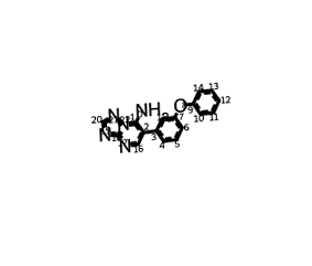 Nc1c(-c2cccc(Oc3ccccc3)c2)cnc2ncnn12